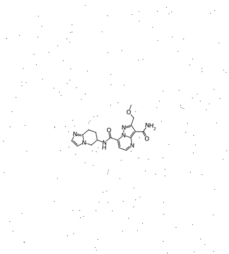 COCc1nn2c(C(=O)NC3CCc4nccn4C3)ccnc2c1C(N)=O